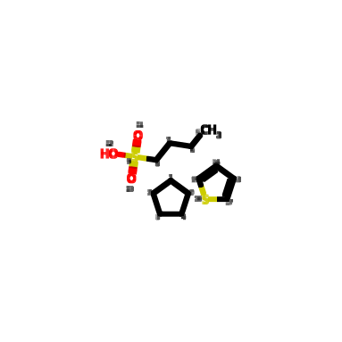 C1CCCC1.CCCCS(=O)(=O)O.c1ccsc1